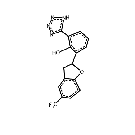 Oc1c(-c2nnn[nH]2)cccc1C1Cc2cc(C(F)(F)F)ccc2O1